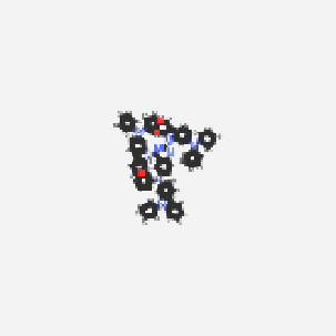 c1ccc(N(c2ccc3nc(-n4c5ccccc5c5ccc(N(c6ccccc6)c6ccccc6)cc54)nc(-n4c5ccccc5c5ccc(N(c6ccccc6)c6ccccc6)cc54)c3c2)c2ccc3c4ccccc4n(-c4ccccc4)c3c2)cc1